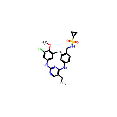 CCc1cnc(Nc2cc(C)c(OC)c(Cl)c2)nc1Nc1ccc(CNS(=O)(=O)C2CC2)cc1